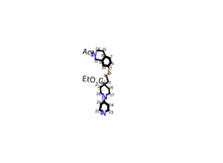 CCOC(=O)C1(CCSc2ccc3c(c2)CN(C(C)=O)CC3)CCN(c2ccncc2)CC1